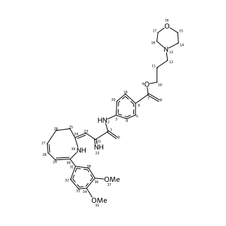 C=C(Nc1ccc(C(=C)OCCCN2CCOCC2)cc1)C(=N)/C=C1/CC/C=C\C=C(\c2ccc(OC)c(OC)c2)N1